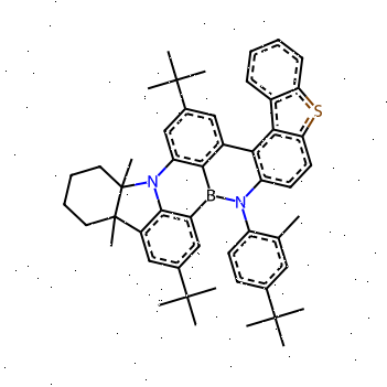 Cc1cc(C(C)(C)C)ccc1N1B2c3cc(C(C)(C)C)cc4c3N(c3cc(C(C)(C)C)cc(c32)-c2c1ccc1sc3ccccc3c21)C1(C)CCCCC41C